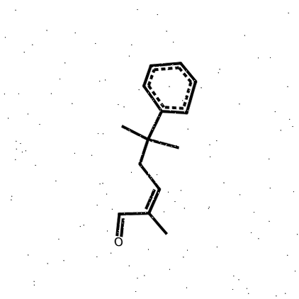 CC(C=O)=CCC(C)(C)c1ccccc1